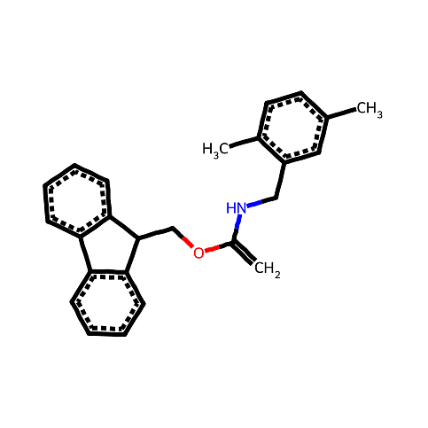 C=C(NCc1cc(C)ccc1C)OCC1c2ccccc2-c2ccccc21